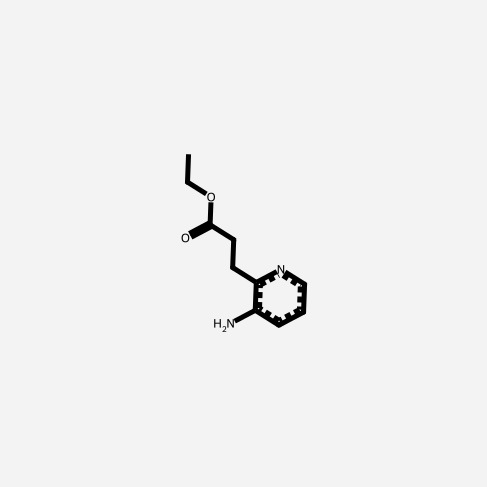 CCOC(=O)CCc1ncccc1N